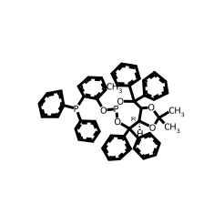 Cc1cccc(P(c2ccccc2)c2ccccc2)c1OP1OC(c2ccccc2)(c2ccccc2)C2OC(C)(C)O[C@H]2C(c2ccccc2)(c2ccccc2)O1